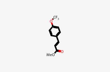 COC(=O)C=Cc1ccc(OC(F)(F)F)cc1